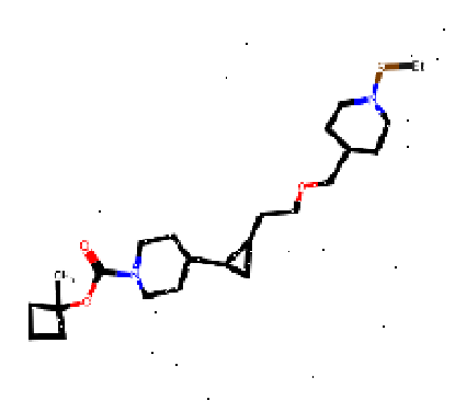 CCSN1CCC(COCCC2CC2C2CCN(C(=O)OC3(C)CCC3)CC2)CC1